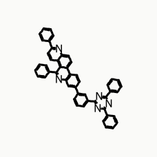 c1ccc(-c2ccc3c(ccc4c5ccc(-c6cccc(-c7nc(-c8ccccc8)nc(-c8ccccc8)n7)c6)cc5nc(-c5ccccc5)c34)n2)cc1